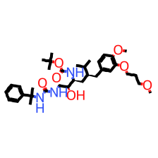 COCCCOc1cc(C[C@@H](C[C@H](NC(=O)OC(C)(C)C)[C@@H](O)CNC(=O)NC(C)(C)c2ccccc2)C(C)C)ccc1OC